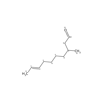 C/C=C/CCCCC(C)C[C]=O